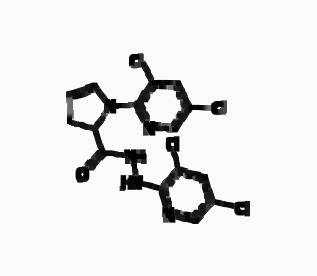 O=C(NNc1ncc(Cl)cc1Cl)C1CC=CN1c1ncc(Cl)cc1Cl